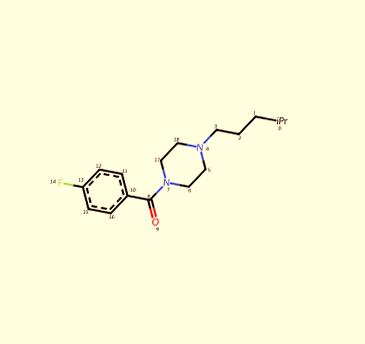 CC(C)CCCN1CCN(C(=O)c2ccc(F)cc2)CC1